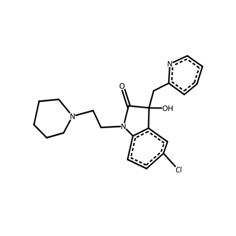 O=C1N(CCN2CCCCC2)c2ccc(Cl)cc2C1(O)Cc1ccccn1